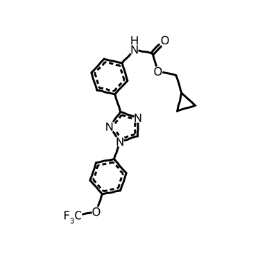 O=C(Nc1cccc(-c2ncn(-c3ccc(OC(F)(F)F)cc3)n2)c1)OCC1CC1